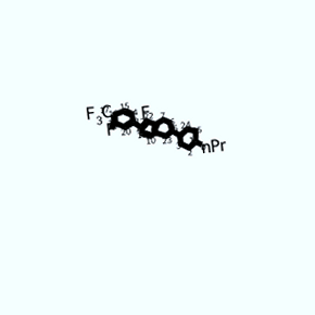 CCCC1CCC(C2CCc3c(ccc(-c4ccc(C(F)(F)F)c(F)c4)c3F)C2)CC1